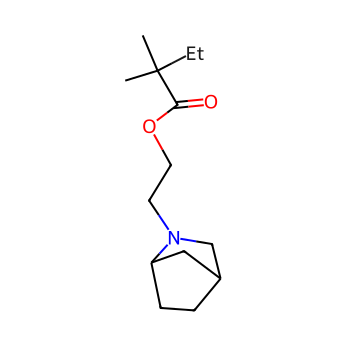 CCC(C)(C)C(=O)OCCN1CC2CCC1C2